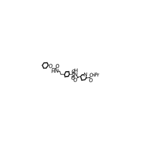 CC(C)OC(=O)c1ccc(C(=O)NS(=O)(=O)c2ccc(CCNC(=O)COc3ccccc3)cc2)cn1